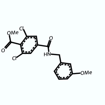 COC(=O)c1c(Cl)cc(C(=O)NCc2cccc(OC)c2)cc1Cl